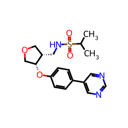 CC(C)S(=O)(=O)NC[C@H]1COC[C@H]1Oc1ccc(-c2cncnc2)cc1